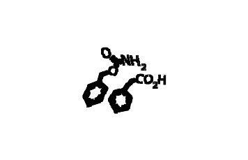 NC(=O)OCc1ccccc1.O=C(O)Cc1ccccc1